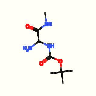 CNC(=O)C(N)NC(=O)OC(C)(C)C